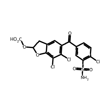 NS(=O)(=O)c1cc(C(=O)c2cc3c(c(Cl)c2Cl)OC(OC(=O)O)C3)ccc1Cl